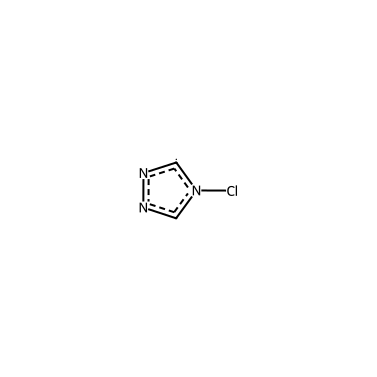 Cln1[c]nnc1